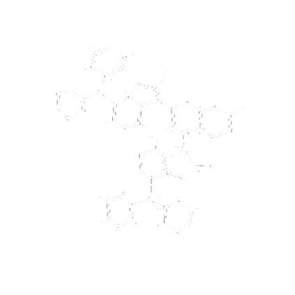 Cc1ccc2c3c4c(cc2c1)-n1c(C)cc2c(N(c5ccccc5)c5ccccc5)ccc(c21)B4c1ccc(N(c2ccccc2)c2ccccc2)c2cc(C)n-3c12